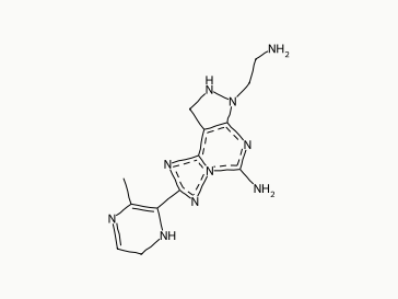 CC1=C(c2nc3c4c(nc(N)n3n2)N(CCN)NC4)NCC=N1